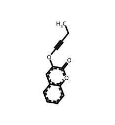 CCC#COc1cc2ccccc2oc1=O